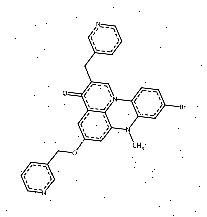 CN1c2cc(Br)ccc2-n2cc(Cc3cccnc3)c(=O)c3cc(OCc4cccnc4)cc1c32